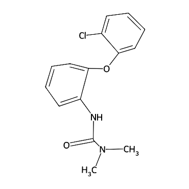 CN(C)C(=O)Nc1ccccc1Oc1ccccc1Cl